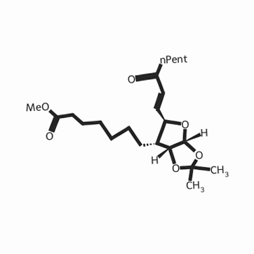 CCCCCC(=O)C=C[C@H]1O[C@@H]2OC(C)(C)O[C@@H]2[C@@H]1CCCCCCC(=O)OC